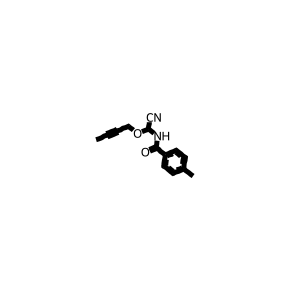 CC#CCOC(C#N)NC(=O)c1ccc(C)cc1